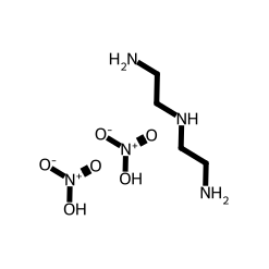 NCCNCCN.O=[N+]([O-])O.O=[N+]([O-])O